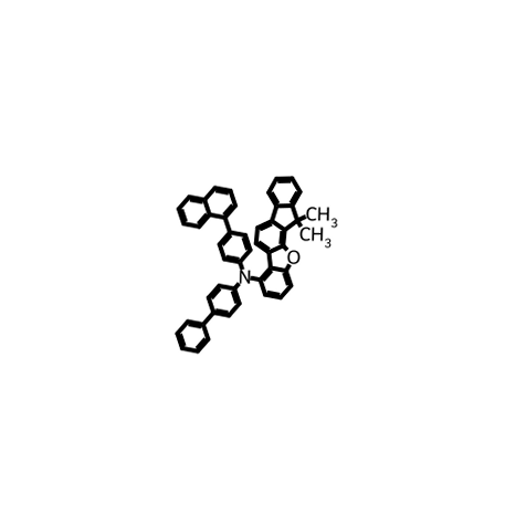 CC1(C)c2ccccc2-c2ccc3c(oc4cccc(N(c5ccc(-c6ccccc6)cc5)c5ccc(-c6cccc7ccccc67)cc5)c43)c21